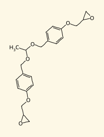 CC(OCc1ccc(OCC2CO2)cc1)OCc1ccc(OCC2CO2)cc1